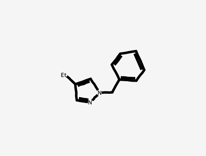 CCc1cnn(Cc2ccccc2)c1